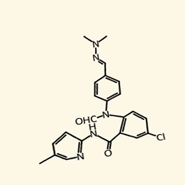 Cc1ccc(NC(=O)c2cc(Cl)ccc2N(C=O)c2ccc(C=NN(C)C)cc2)nc1